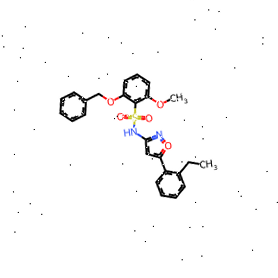 CCc1ccccc1-c1cc(NS(=O)(=O)c2c(OC)cccc2OCc2ccccc2)no1